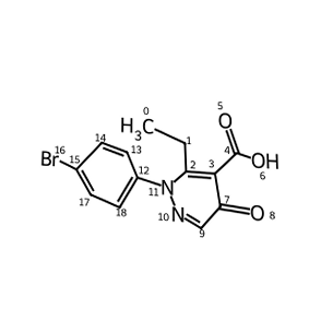 CCc1c(C(=O)O)c(=O)cnn1-c1ccc(Br)cc1